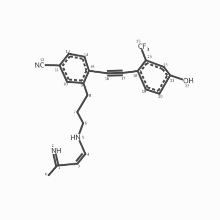 CC(=N)/C=C\NCCCc1cc(C#N)ccc1C#Cc1ccc(O)cc1C(F)(F)F